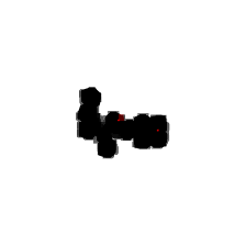 c1ccc(-c2ccc3c(c2)sc2c(-c4nc(-c5ccccc5)nc(-c5cccc6c5oc5ccc(-c7cccc8c7-c7ccccc7C8(c7ccccc7)c7ccccc7)cc56)n4)cccc23)cc1